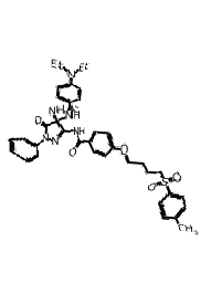 CCN(CC)c1ccc(NC2(NC(C)=O)C(=O)N(c3ccccc3)N=C2NC(=O)c2ccc(OCCCCS(=O)(=O)c3ccc(C)cc3)cc2)cc1